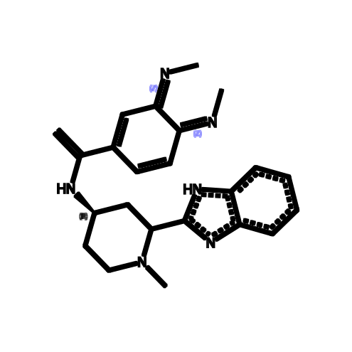 C=C(N[C@@H]1CCN(C)C(c2nc3ccccc3[nH]2)C1)C1=CC(=N/C)/C(=N\C)C=C1